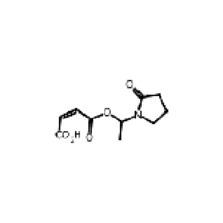 CC(OC(=O)/C=C\C(=O)O)N1CCCC1=O